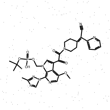 COc1cnc(-n2cnc(C)n2)c2c1c(C(=O)C(=O)N1CCC(=C(C#N)c3ccccn3)CC1)cn2COP(=O)(O)OC(C)(C)C